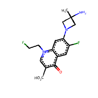 CC1(N)CN(c2cc3c(cc2F)c(=O)c(C(=O)O)cn3CCF)C1